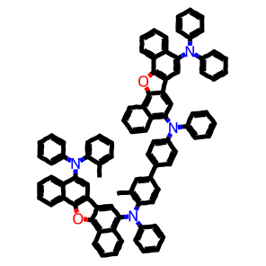 Cc1ccccc1N(c1ccccc1)c1cc2c3cc(N(c4ccccc4)c4ccc(-c5ccc(N(c6ccccc6)c6cc7c8cc(N(c9ccccc9)c9ccccc9)c9ccccc9c8oc7c7ccccc67)cc5)cc4C)c4ccccc4c3oc2c2ccccc12